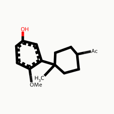 COc1ccc(O)cc1C1(C)CCC(C(C)=O)CC1